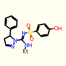 CCN/C(=N\S(=O)(=O)c1ccc(O)cc1)N1N=CCC1c1ccccc1